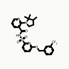 CC1CCN(c2ncccc2C(=O)NS(=O)(=O)c2cccc(OCc3cccc(C(F)(F)F)c3)n2)C1(C)C